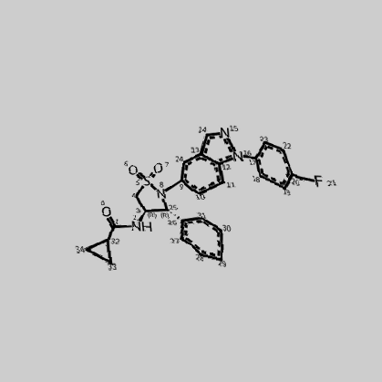 O=C(N[C@H]1CS(=O)(=O)N(c2ccc3c(cnn3-c3ccc(F)cc3)c2)[C@@H]1c1ccccc1)C1CC1